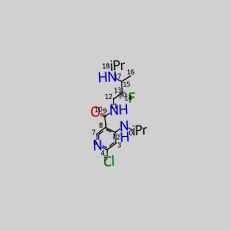 CC(C)Nc1cc(Cl)ncc1C(=O)NC[C@@H](F)C(C)NC(C)C